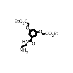 CCOC(=O)COc1cc(OCC(=O)OCC)cc(C(=O)NCCN)c1